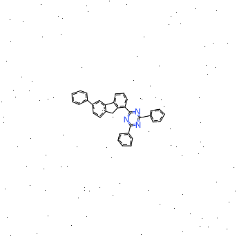 c1ccc(-c2ccc3c(c2)-c2cccc(-c4nc(-c5ccccc5)nc(-c5ccccc5)n4)c2C3)cc1